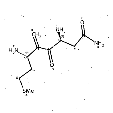 C=C(C(=O)[C@@H](N)CC(N)=O)[C@@H](N)CCSC